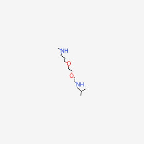 CNCCCOCCOCCNCC(C)C